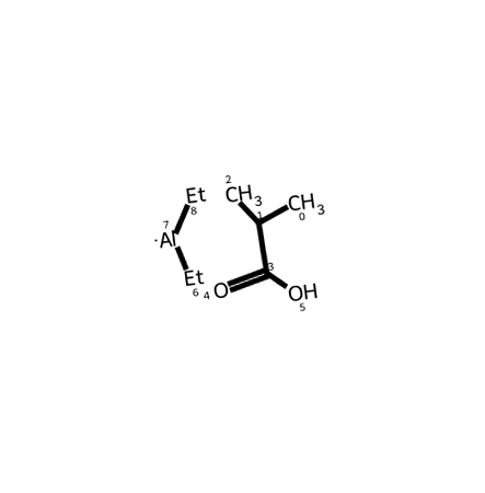 CC(C)C(=O)O.C[CH2][Al][CH2]C